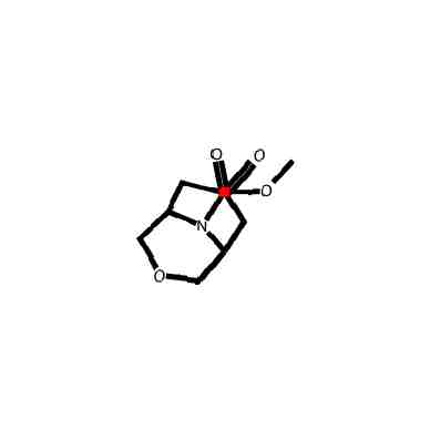 COC(=O)N1C2COCC1CC(=O)C2